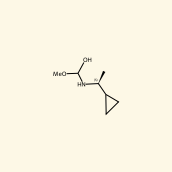 COC(O)N[C@@H](C)C1CC1